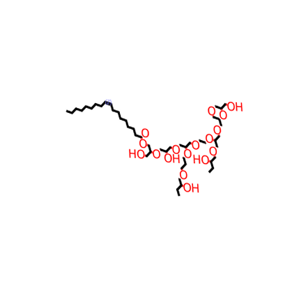 CCCCCCCC/C=C\CCCCCCCC(=O)OCC(CO)OCC(O)COCC(COCCOC(COCC(O)CC)COCC1COCC(CO)O1)OCCCOCC(O)CC